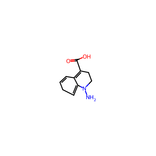 NN1CCC(C(=O)O)=C2C=CCC=C21